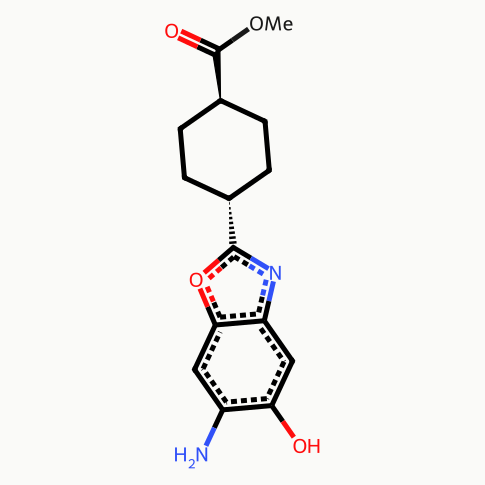 COC(=O)[C@H]1CC[C@H](c2nc3cc(O)c(N)cc3o2)CC1